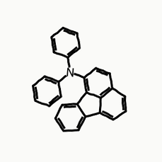 c1ccc(N(c2ccccc2)c2ccc3cccc4c3c2-c2ccccc2-4)cc1